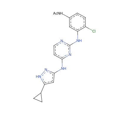 CC(=O)Nc1ccc(Cl)c(Nc2nccc(Nc3cc(C4CC4)[nH]n3)n2)c1